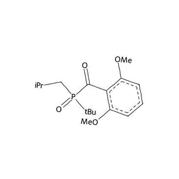 COc1cccc(OC)c1C(=O)P(=O)(CC(C)C)C(C)(C)C